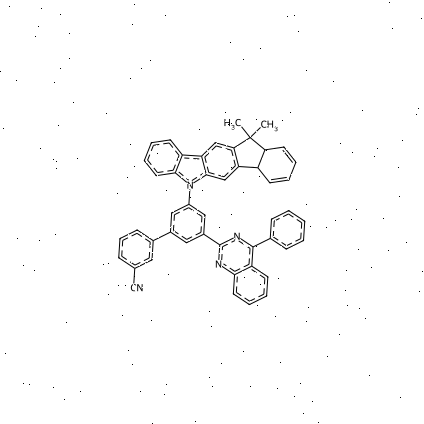 CC1(C)c2cc3c4ccccc4n(-c4cc(-c5cccc(C#N)c5)cc(-c5nc(-c6ccccc6)c6ccccc6n5)c4)c3cc2C2C=CC=CC21